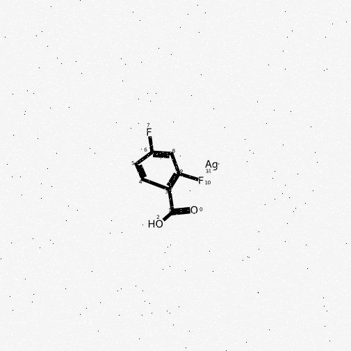 O=C(O)c1ccc(F)cc1F.[Ag]